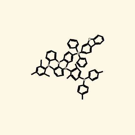 Cc1ccc(N(c2ccc(C)cc2)c2cc(C)c(B3c4cc([Si](c5ccccc5)(c5ccccc5)c5ccc6c(c5)oc5ccccc56)ccc4N4c5ccccc5B(c5c(C)cc(C)cc5C)c5cccc3c54)c(C)c2)cc1